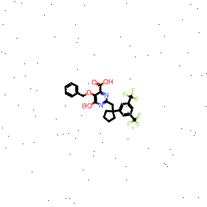 O=C(O)c1nc(CC2(c3cc(C(F)(F)F)cc(C(F)(F)F)c3)CCCC2)nc(O)c1OCc1ccccc1